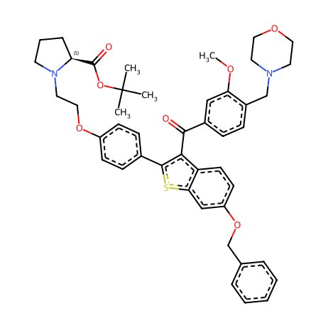 COc1cc(C(=O)c2c(-c3ccc(OCCN4CCC[C@H]4C(=O)OC(C)(C)C)cc3)sc3cc(OCc4ccccc4)ccc23)ccc1CN1CCOCC1